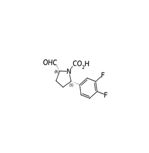 O=C[C@H]1CC[C@@H](c2ccc(F)c(F)c2)N1C(=O)O